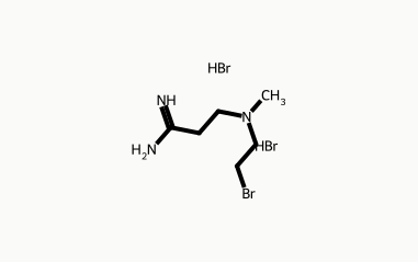 Br.Br.CN(CCBr)CCC(=N)N